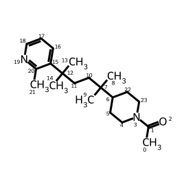 CC(=O)N1CCC(C(C)(C)CCC(C)(C)c2cccnc2C)CC1